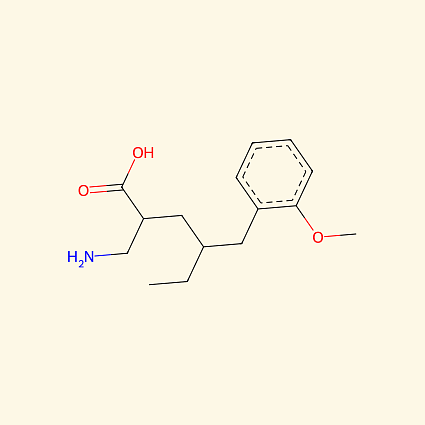 CCC(Cc1ccccc1OC)CC(CN)C(=O)O